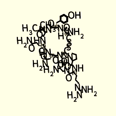 CC[C@H](C)C1NC(=O)[C@H](Cc2ccc(O)cc2)NC(=O)[C@@H](N)CSSC[C@@H](C(=O)N2CCCC2C(=O)N[C@@H](CCCN=C(N)N)C(=O)NCC(N)=O)NC(=O)[C@H](CC(N)=O)NC(=O)[C@H](CCC(N)=O)NC1=O